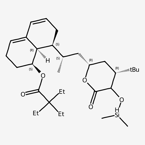 CCC(CC)(CC)C(=O)O[C@H]1CCC=C2C=CC[C@@H]([C@@H](C)C[C@@H]3C[C@H](C(C)(C)C)C(O[SiH](C)C)C(=O)O3)[C@H]21